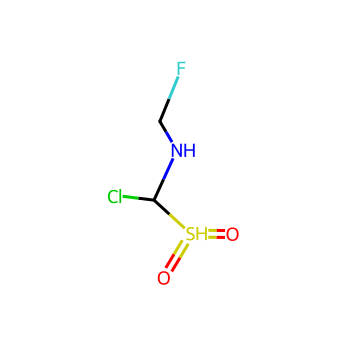 O=[SH](=O)C(Cl)NCF